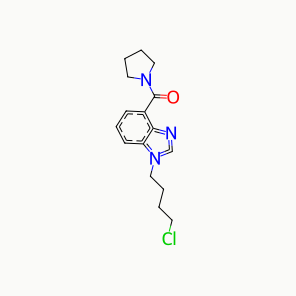 O=C(c1cccc2c1ncn2CCCCCl)N1CCCC1